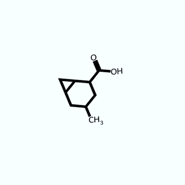 CC1CC2CC2C(C(=O)O)C1